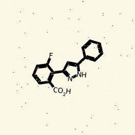 O=C(O)c1cccc(F)c1-c1cc(-c2ccccc2)[nH]n1